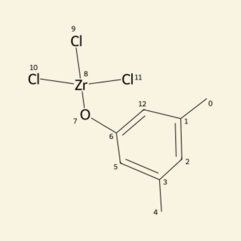 Cc1cc(C)cc([O][Zr]([Cl])([Cl])[Cl])c1